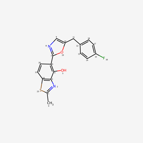 Cc1nc2c(O)c(-c3ncc(Cc4ccc(F)cc4)o3)ccc2s1